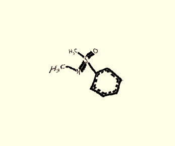 CN=S(C)(=O)c1c[c]ccc1